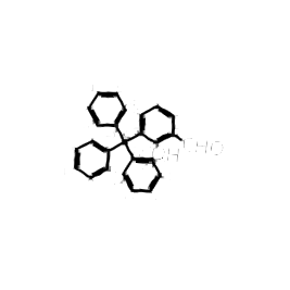 O=Cc1cccc(C(c2ccccc2)(c2ccccc2)c2ccccc2)c1O